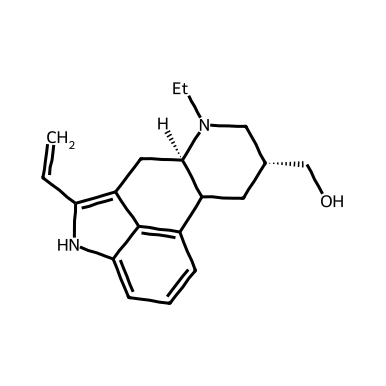 C=Cc1[nH]c2cccc3c2c1C[C@@H]1C3C[C@@H](CO)CN1CC